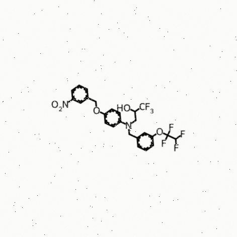 O=[N+]([O-])c1cccc(COc2ccc(N(Cc3cccc(OC(F)(F)C(F)F)c3)CC(O)C(F)(F)F)cc2)c1